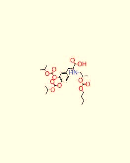 CCCCOC(=O)OC(C)CN[C@@H](Cc1ccc(OC(=O)OC(C)C)c(OC(=O)OC(C)C)c1)C(=O)O